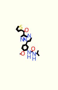 COc1ccc(-c2ccnc3c(C(=O)c4cccs4)cnn23)cc1NC(=O)NC(C)C